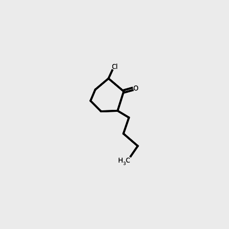 CCCCC1CCCC(Cl)C1=O